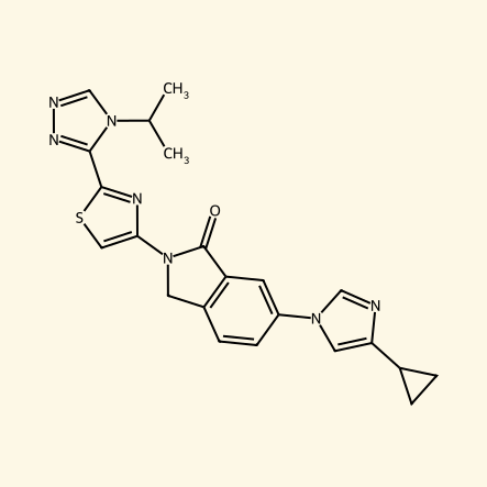 CC(C)n1cnnc1-c1nc(N2Cc3ccc(-n4cnc(C5CC5)c4)cc3C2=O)cs1